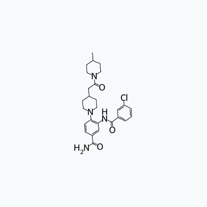 CC1CCN(C(=O)CC2CCN(c3ccc(C(N)=O)cc3NC(=O)c3cccc(Cl)c3)CC2)CC1